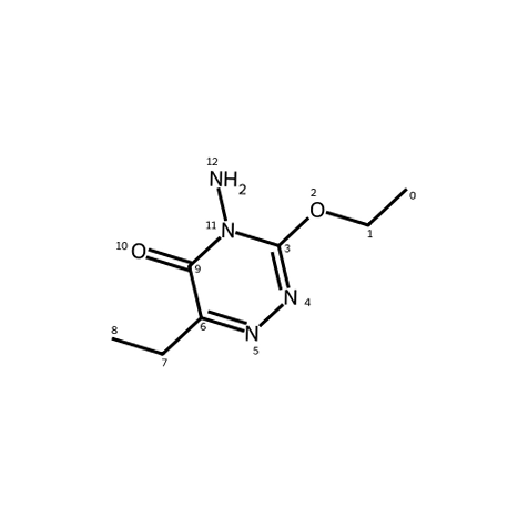 CCOc1nnc(CC)c(=O)n1N